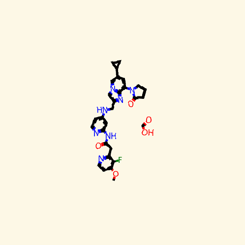 COc1ccnc(CC(=O)Nc2cc(NCc3cn4cc(C5CC5)cc(N5CCCC5=O)c4n3)ccn2)c1F.O=CO